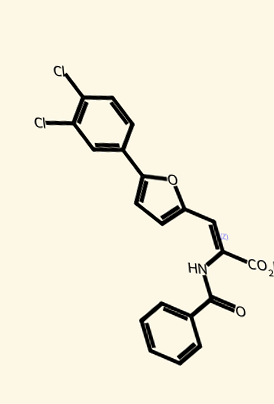 O=C(O)/C(=C/c1ccc(-c2ccc(Cl)c(Cl)c2)o1)NC(=O)c1ccccc1